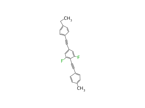 CCc1ccc(C#Cc2cc(F)c(C#Cc3ccc(C)cc3)c(F)c2)cc1